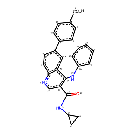 O=C(O)c1ccc(-c2ccc3ncc(C(=O)NC4CC4)c(Nc4ccccc4)c3c2)cc1